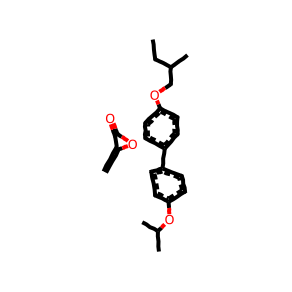 C=C1OC1=O.CCC(C)COc1ccc(-c2ccc(OC(C)C)cc2)cc1